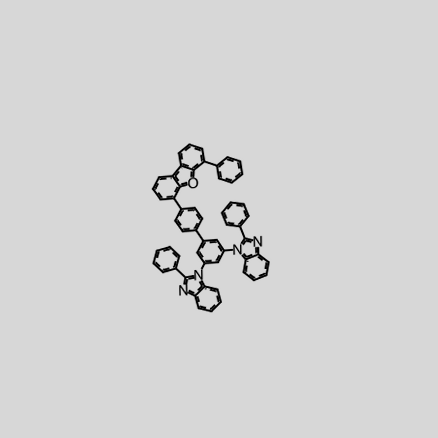 c1ccc(-c2cccc3c2oc2c(-c4ccc(-c5cc(-n6c(-c7ccccc7)nc7ccccc76)cc(-n6c(-c7ccccc7)nc7ccccc76)c5)cc4)cccc23)cc1